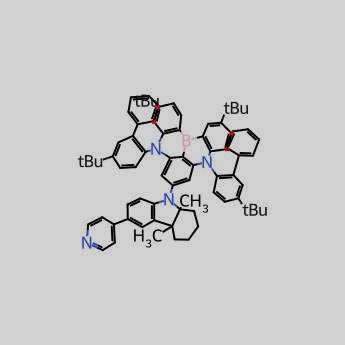 CC(C)(C)c1ccc2c(c1)B1c3ccc(C(C)(C)C)cc3N(c3ccc(C(C)(C)C)cc3-c3ccccc3)c3cc(N4c5ccc(-c6ccncc6)cc5C5(C)CCCCC45C)cc(c31)N2c1ccc(C(C)(C)C)cc1-c1ccccc1